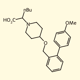 CCCCC(C(=O)O)N1CCC(OCc2ccccc2-c2ccc(OC)cc2)CC1